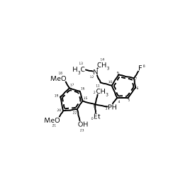 CCC(C)(Pc1ccc(F)cc1CN(C)C)c1cc(OC)cc(OC)c1O